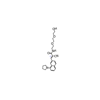 N#C/C(=C\c1ccc2cccc(N3CCCC3)c2c1)C(=O)NCCOCCOCCO